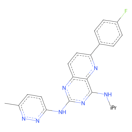 Cc1ccc(Nc2nc(NC(C)C)c3nc(-c4ccc(F)cc4)ccc3n2)nn1